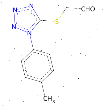 Cc1ccc(-n2nnnc2SCC=O)cc1